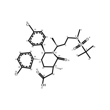 C[C@@H](CCN(C)S(=O)(=O)C(C)(C)C)N1C(=O)[C@@](C)(CC(=O)O)C[C@H](c2cccc(Cl)c2)[C@H]1c1ccc(Cl)cc1